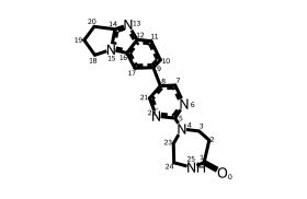 O=C1CCN(c2ncc(-c3ccc4nc5n(c4c3)CCC5)cn2)CCN1